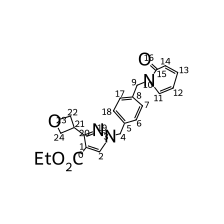 CCOC(=O)c1cn(Cc2ccc(Cn3ccccc3=O)cc2)nc1C1COC1